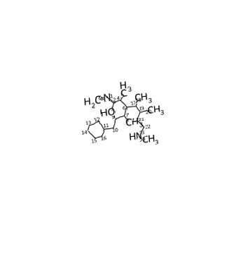 C=NC(O)C(C)C(C(C)CCC1CCCCC1)C(C)C(C)CCNC